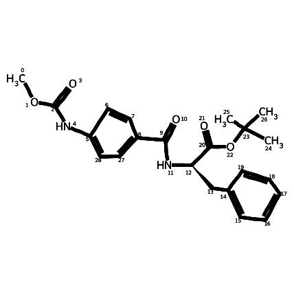 COC(=O)Nc1ccc(C(=O)N[C@H](Cc2ccccc2)C(=O)OC(C)(C)C)cc1